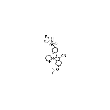 N#Cc1c(-c2ccc(S(=O)(=O)NC(CF)CF)cn2)n(-c2ccccn2)c2cc(OC(F)F)ccc12